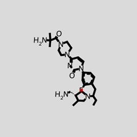 CCC(Cc1ccc(N(C=O)/C=C\C(=N/C)N2CCN(C(=O)C(C)(C)N)CC2)cc1F)N1CC(C)[C@H](CN)C1